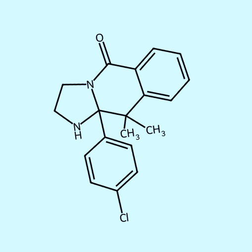 CC1(C)c2ccccc2C(=O)N2CCNC21c1ccc(Cl)cc1